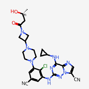 C[C@@H](O)CC(=O)N1CC(N2CCN(c3cc(C#N)cc(Nc4nc(NC5CC5)c5ncc(C#N)n5n4)c3Cl)CC2)C1